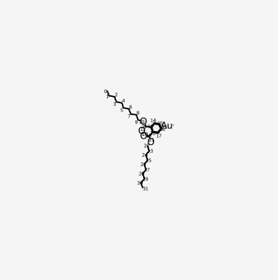 CCCCCCCCCCOC(=O)c1ccccc1C(=O)OCCCCCCCCCC.[Au]